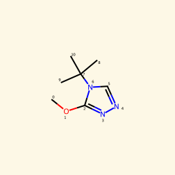 COc1nncn1C(C)(C)C